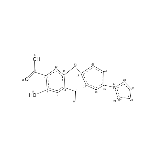 CCc1cc(O)c(C(=O)O)cc1Cc1ccc(-n2cccn2)cc1